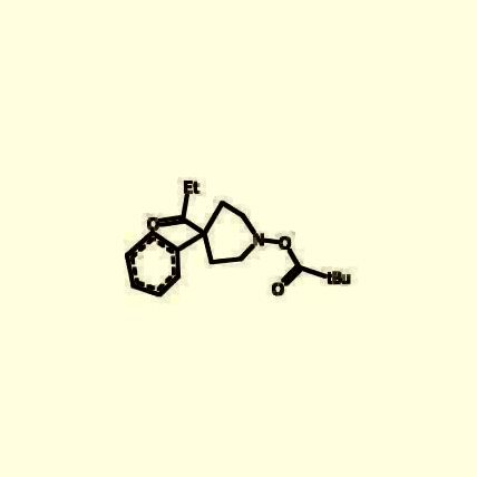 CCC(=O)C1(c2ccccc2)CCN(OC(=O)C(C)(C)C)CC1